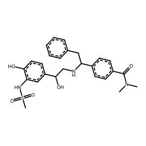 CN(C)C(=O)c1ccc(C(Cc2ccccc2)NCC(O)c2ccc(O)c(NS(C)(=O)=O)c2)cc1